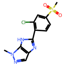 Cn1ncc2nc(-c3ccc(S(C)(=O)=O)cc3Cl)[nH]c21